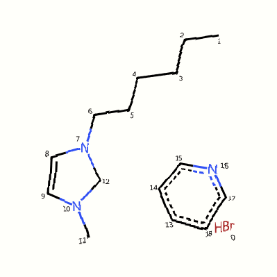 Br.CCCCCCN1C=CN(C)C1.c1ccncc1